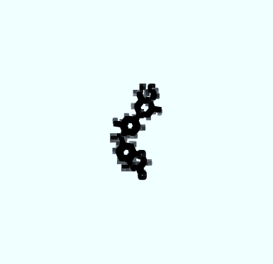 Cc1cc(N2CC(C)N(CC(F)(F)F)C(C)C2)ccc1Nc1ccc2c(c1)OCC(=O)N2